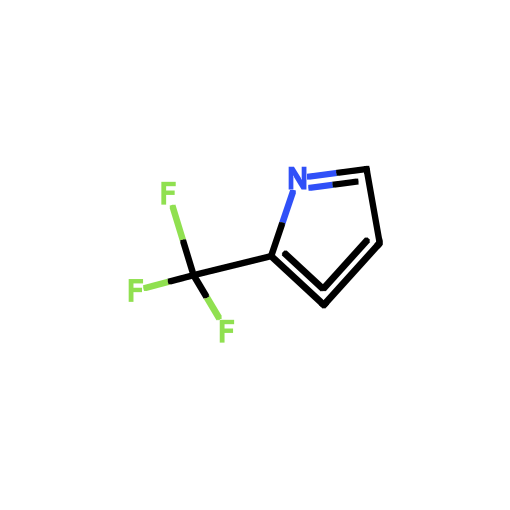 FC(F)(F)C1=C=CC=N1